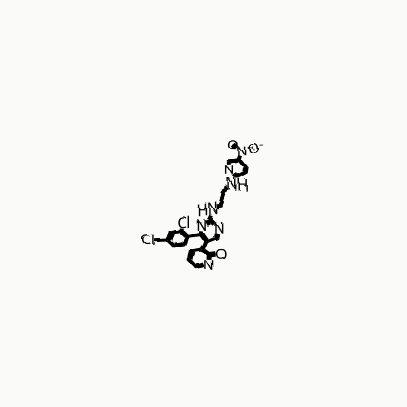 O=C1N=CC=CC1c1cnc(NCCNc2ccc([N+](=O)[O-])cn2)nc1-c1ccc(Cl)cc1Cl